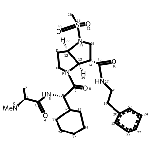 CN[C@@H](C)C(=O)N[C@H](C(=O)N1CC[C@@H]2[C@H]1[C@@H](C(=O)NCCc1ccccc1)CN2S(C)(=O)=O)C1CCCCC1